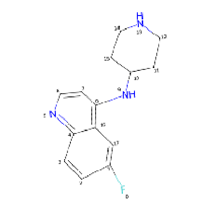 Fc1ccc2nccc(NC3CCNCC3)c2c1